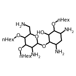 CCCCCCOC1C(N)CC(N)C(OC2OC(CN)C(OCCCCCC)C(OCCCCCC)C2N)C1O